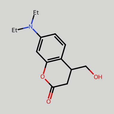 CCN(CC)c1ccc2c(c1)OC(=O)CC2CO